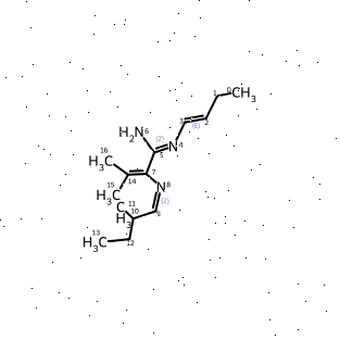 CC/C=C/N=C(\N)C(/N=C\C(C)CC)=C(C)C